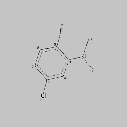 C[C](C)c1cc(Cl)ccc1F